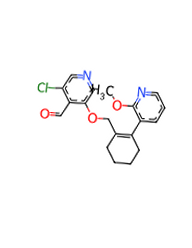 COc1ncccc1C1=C(COc2cncc(Cl)c2C=O)CCCC1